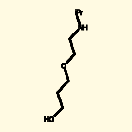 CC(C)NCCOCCCO